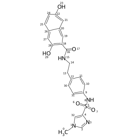 Cn1cnc(S(=O)(=O)Nc2ccc(CCNC(=O)c3cc4cc(O)ccc4cc3O)cc2)c1